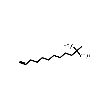 C=CCCCCCCCCC(C)(C(=O)O)C(=O)O